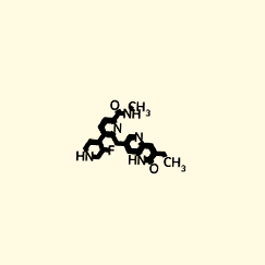 CCc1cc2ncc(Cc3nc(C(=O)NC)ccc3C3=CCNCC3F)cc2[nH]c1=O